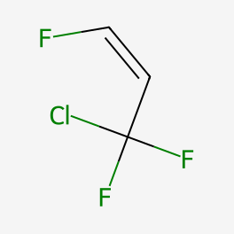 F/C=C\C(F)(F)Cl